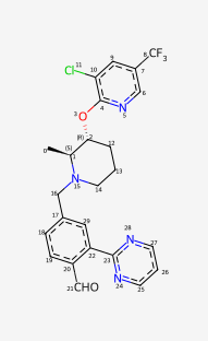 C[C@H]1[C@H](Oc2ncc(C(F)(F)F)cc2Cl)CCCN1Cc1ccc(C=O)c(-c2ncccn2)c1